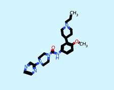 CCCN1CCC(c2cc(NC(=O)N3CCN(c4cnccn4)CC3)ccc2OC)CC1